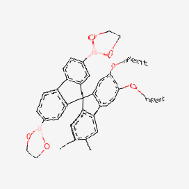 CCCCCOc1cc2c(cc1OCCCCC)C1(c3cc(B4OCCO4)ccc3-c3ccc(B4OCCO4)cc31)c1cc(C)c(C)cc1-2